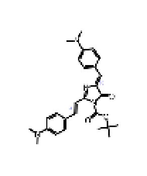 CN(C)c1ccc(/C=C2N=C(/C=C/c3ccc(N(C)C)cc3)N(C(=O)OC(C)(C)C)C\2=O)cc1